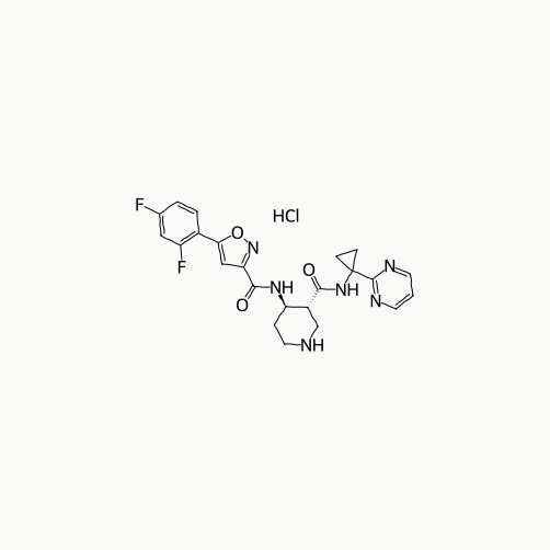 Cl.O=C(N[C@@H]1CCNC[C@H]1C(=O)NC1(c2ncccn2)CC1)c1cc(-c2ccc(F)cc2F)on1